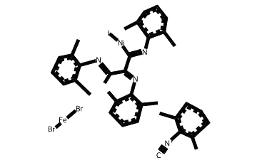 CC(=Nc1c(C)cccc1C)C(=Nc1c(C)cccc1C)[C](=Nc1c(C)cccc1C)[Ni][I].[Br][Fe][Br].[C-]#[N+]c1c(C)cccc1C